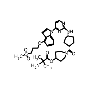 CC(C)(N)C(=O)OC1CCN(C(=O)[C@H]2CC[C@H](Nc3nccc(-n4ccc5c(OCCCS(C)(=O)=O)cccc54)n3)CC2)CC1